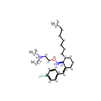 CCCCCCC[C@H]1CCCC(=Cc2ccc(F)cc2)C1=NOCCN(C)C